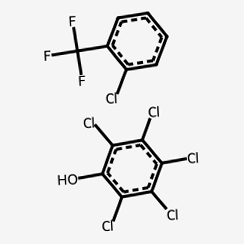 FC(F)(F)c1ccccc1Cl.Oc1c(Cl)c(Cl)c(Cl)c(Cl)c1Cl